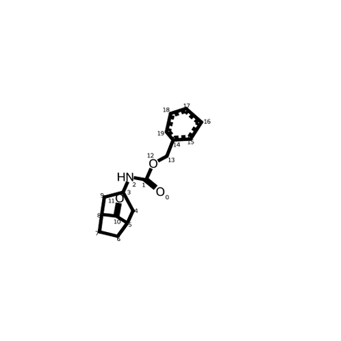 O=C(NC1CC2CCC(C1)C2=O)OCc1ccccc1